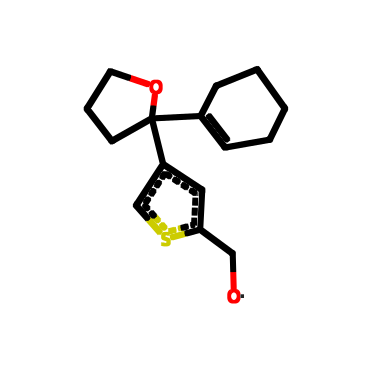 [O]Cc1cc(C2(C3=CCCCC3)CCCO2)cs1